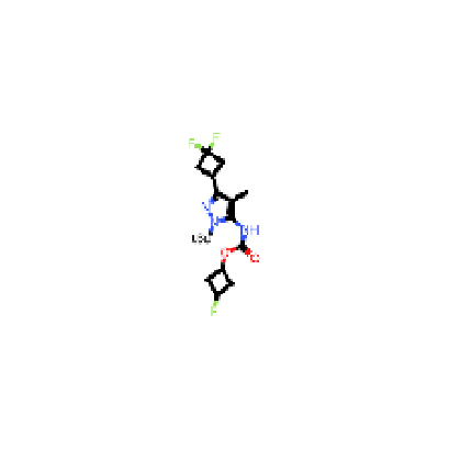 Cc1c(C2CC(F)(F)C2)nn(C(C)(C)C)c1NC(=O)OC1CC(F)C1